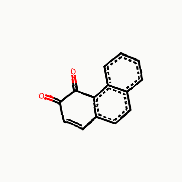 O=C1C=Cc2ccc3ccccc3c2C1=O